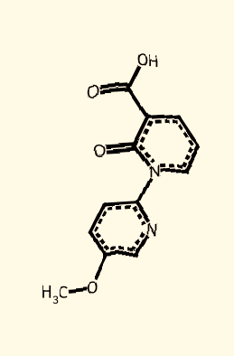 COc1ccc(-n2cccc(C(=O)O)c2=O)nc1